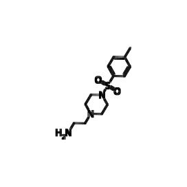 Cc1ccc(S(=O)(=O)N2CCN(CCN)CC2)cc1